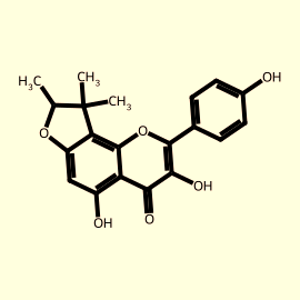 CC1Oc2cc(O)c3c(=O)c(O)c(-c4ccc(O)cc4)oc3c2C1(C)C